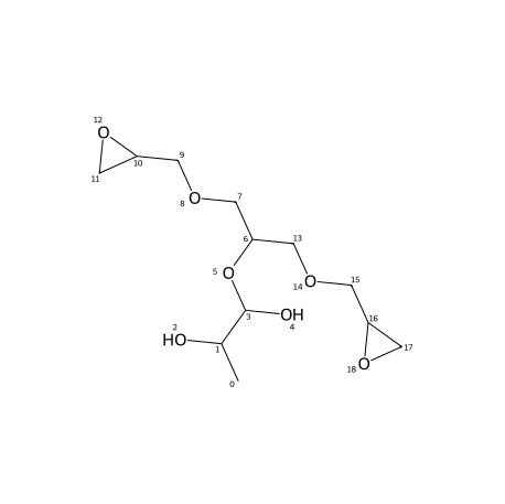 CC(O)C(O)OC(COCC1CO1)COCC1CO1